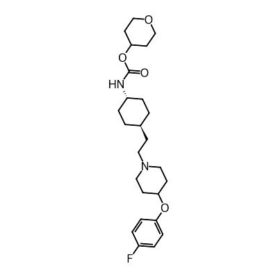 O=C(N[C@H]1CC[C@H](CCN2CCC(Oc3ccc(F)cc3)CC2)CC1)OC1CCOCC1